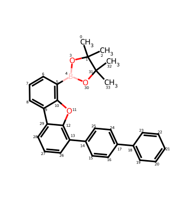 CC1(C)OB(c2cccc3c2oc2c(-c4ccc(-c5ccccc5)cc4)cccc23)OC1(C)C